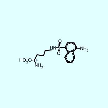 Nc1ccc(S(=O)(=O)NCCCC[C@@H](N)C(=O)O)c2ccccc12